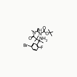 C=C(NC(=O)OC(C)(C)C)N(C)C(=O)C(C)(C)[C@](C)(N)c1cc(Br)ccc1F